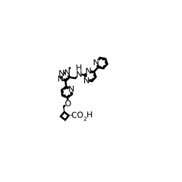 Cn1nnc(-c2ccc(OC[C@@H]3CC[C@H]3C(=O)O)cn2)c1CNc1nccc(-c2ccccn2)n1